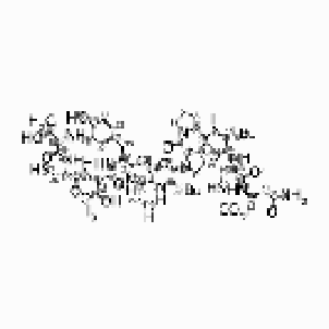 CC[C@H](C)[C@H](NC(=O)[C@@H]1CCCN1C(=O)[C@@H]1CCCN1C(=O)[C@@H](NC(=O)[C@H](CO)NC(=O)[C@H](Cc1ccc(O)cc1)NC(=O)[C@@H](NC(=O)[C@H](CS)NC(=O)[C@@H](N)[C@@H](C)O)[C@@H](C)O)[C@@H](C)CC)C(=O)N[C@@H](CS)C(=O)N[C@@H](CC(N)=O)C(=O)O